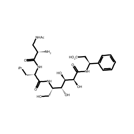 CC(=O)NC[C@H](N)C(=O)N[C@@H](CC(C)C)C(=O)N[C@@H](CO)[C@@H](O)[C@@H](O)[C@H](O)C(=O)N[C@@H](CC(=O)O)c1ccccc1